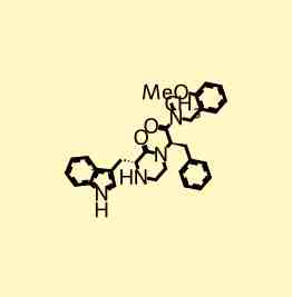 COc1ccccc1CN(C)C(=O)[C@@H](Cc1ccccc1)N1CCN[C@H](Cc2c[nH]c3ccccc23)C1=O